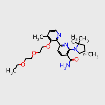 CCOCCOCCOc1c(C)ccnc1-c1ccc(C(N)=O)c(N2C[C@@H](C)CC2(C)C)n1